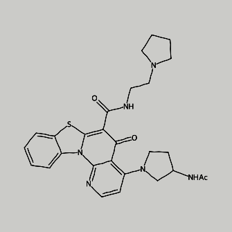 CC(=O)NC1CCN(c2ccnc3c2c(=O)c(C(=O)NCCN2CCCC2)c2sc4ccccc4n23)C1